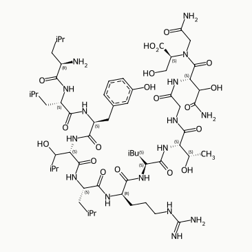 CC[C@H](C)[C@H](NC(=O)[C@@H](CCCNC(=N)N)NC(=O)[C@H](CC(C)C)NC(=O)[C@@H](NC(=O)[C@H](Cc1cccc(O)c1)NC(=O)[C@H](CC(C)C)NC(=O)[C@H](N)CC(C)C)C(O)C(C)C)C(=O)N[C@H](C(=O)NCC(=O)N[C@H](C(=O)N(CC(N)=O)[C@@H](CO)C(=O)O)C(O)C(N)=O)[C@H](C)O